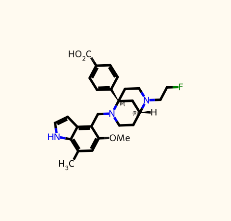 COc1cc(C)c2[nH]ccc2c1CN1CC[C@@H]2C[C@@]1(c1ccc(C(=O)O)cc1)CCN2CCF